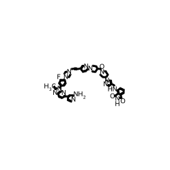 Cc1nc2ccc(-c3ccnc(N)c3)nc2n1-c1ccc(N2CCN(CC#Cc3ccc(N4CCC(C(=O)N5CCC(n6cc(CNc7cccc8c7C(=O)NC8=O)cn6)CC5)CC4)nc3)CC2)c(F)c1